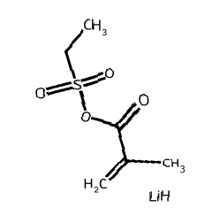 C=C(C)C(=O)OS(=O)(=O)CC.[LiH]